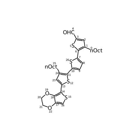 CCCCCCCCc1cc(C=O)sc1-c1ccc(-c2sc(-c3scc4c3OCCO4)cc2CCCCCCCC)s1